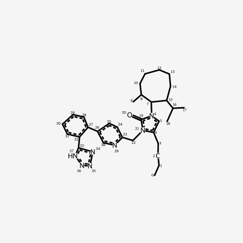 CCCCc1cn(C2C(C)CCCCCC2C(C)C)c(=O)n1Cc1ccc(-c2ccccc2-c2nnn[nH]2)cn1